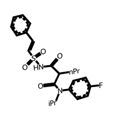 CCCC(C(=O)NS(=O)(=O)C=Cc1ccccc1)C(=O)N(c1ccc(F)cc1)C(C)C